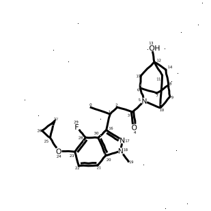 CC(CC(=O)N1C2CC3CC1CC(O)(C3)C2)c1nn(C)c2ccc(OC3CC3)c(F)c12